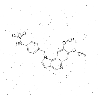 COc1cc2ncc3ccn(Cc4ccc(N[SH](=O)=O)cc4)c3c2cc1OC